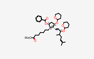 COC(=O)CCCCCC[C@@H]1[C@@H](/C=C/[C@@H](OC2CCCCO2)C(C)CC=C(C)C)[C@H](OC2CCCCO2)C[C@@H]1OC(=O)c1ccccc1